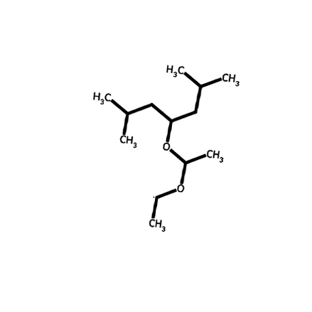 C[CH]OC(C)OC(CC(C)C)CC(C)C